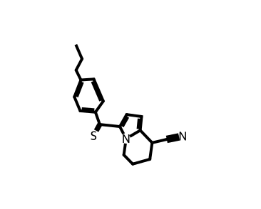 CCCc1ccc(C(=S)c2ccc3n2CCCC3C#N)cc1